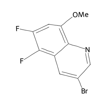 COc1cc(F)c(F)c2cc(Br)cnc12